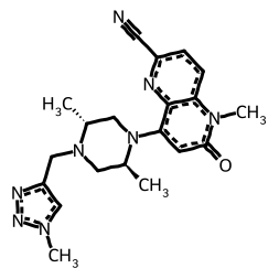 C[C@@H]1CN(c2cc(=O)n(C)c3ccc(C#N)nc23)[C@@H](C)CN1Cc1cn(C)nn1